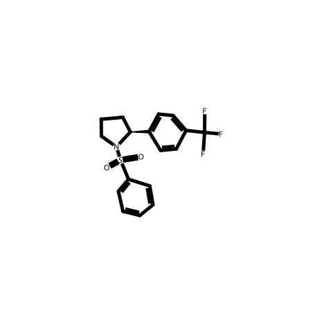 O=S(=O)(c1ccccc1)N1CCC[C@H]1c1ccc(C(F)(F)F)cc1